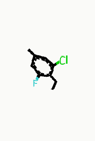 CCc1c(F)cc(C)cc1Cl